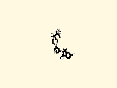 Cc1oncc1C(=O)N1CCN(c2cncc(N3C(=O)c4ccc(Cl)cc4C3(C)C)c2)CC1